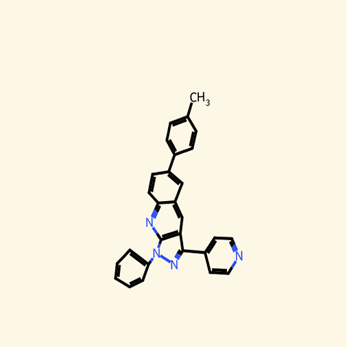 Cc1ccc(-c2ccc3nc4c(cc3c2)c(-c2ccncc2)nn4-c2ccccc2)cc1